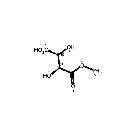 O=C(O)[C@@H](O)[C@H](O)C(=O)OP